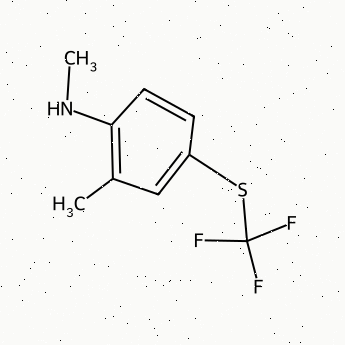 CNc1ccc(SC(F)(F)F)cc1C